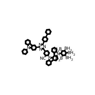 Bc1c(B)c(B)c(-n2c3ccccc3c3c2ccc2c4ccccc4n(-c4ccc(-c5nc(-c6ccc(-c7ccccc7)cc6)nc(-c6ccc7c(c6)c6ccccc6n7-c6ccccc6)n5)cc4C#N)c23)c(B)c1B